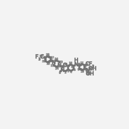 CN(CC1CCC(Nc2ccc(N(O)O)c(C(F)(F)F)c2)CC1)C(=O)N1CCN(c2ccc(C(F)(F)F)cc2)CC1